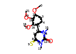 COc1ccc(-c2cc(=S)n(C)c(=O)n2C)c(OC)c1OC